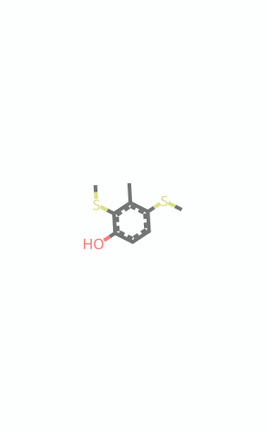 CSc1ccc(O)c(SC)c1C